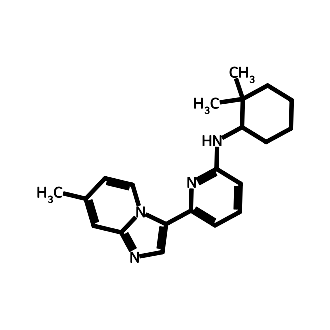 Cc1ccn2c(-c3cccc(NC4CCCCC4(C)C)n3)cnc2c1